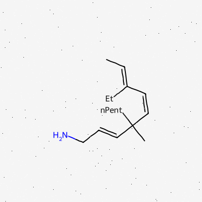 C/C=C(/C=C\C(C)(C=CCN)CCCCC)CC